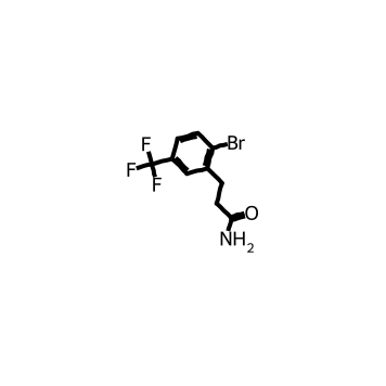 NC(=O)CCc1cc(C(F)(F)F)ccc1Br